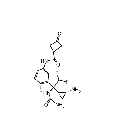 NC(=O)N[C@@](c1cc(NC(=O)C2CC(=O)C2)ccc1F)(C(F)F)[C@H]1C[C@H]1N